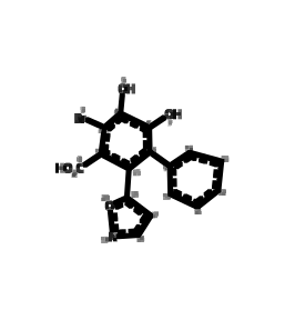 O=C(O)c1c(Br)c(O)c(O)c(-c2ccccc2)c1-c1ccno1